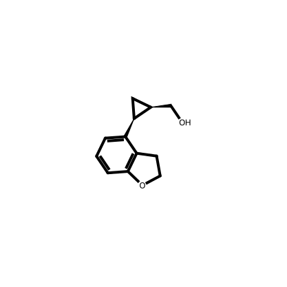 OC[C@@H]1C[C@@H]1c1cccc2c1CCO2